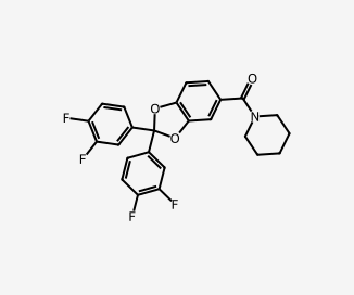 O=C(c1ccc2c(c1)OC(c1ccc(F)c(F)c1)(c1ccc(F)c(F)c1)O2)N1CCCCC1